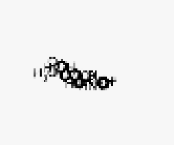 CN1C(=O)CC[C@@]2(C)C1=CC[C@@H]1[C@H]2CC[C@]2(C)C(C(=O)Nc3ccc(F)cc3)CC[C@@H]12